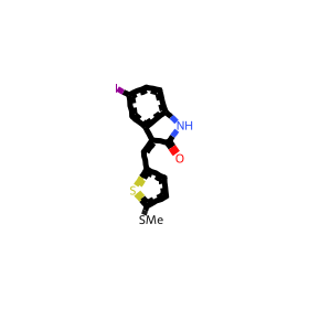 CSc1ccc(C=C2C(=O)Nc3ccc(I)cc32)s1